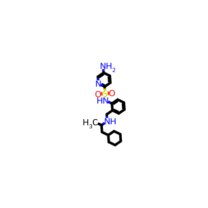 CC(CC1CCCCC1)NCc1ccccc1NS(=O)(=O)c1ccc(N)cn1